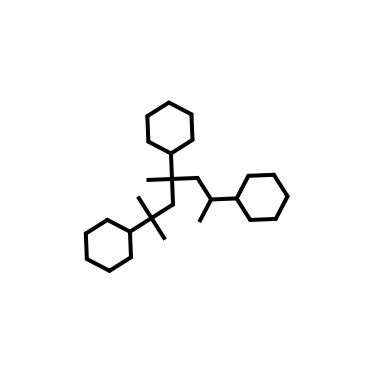 CC(CC(C)(CC(C)(C)C1CCCCC1)C1CCCCC1)C1CCCCC1